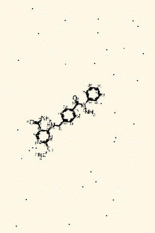 CSc1ncc(C(N)=O)c(NCc2ccc(C(=O)N(N)c3ccccc3)cc2)n1